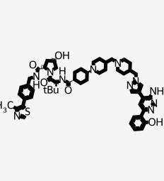 Cc1ncsc1-c1ccc(CNC(=O)[C@@H]2C[C@@H](O)CN2C(=O)[C@@H](NC(=O)[C@H]2CC[C@H](N3CCC(CN4CCC(Cn5cc(-c6cc(-c7ccccc7O)nnc6N)cn5)CC4)CC3)CC2)C(C)(C)C)cc1